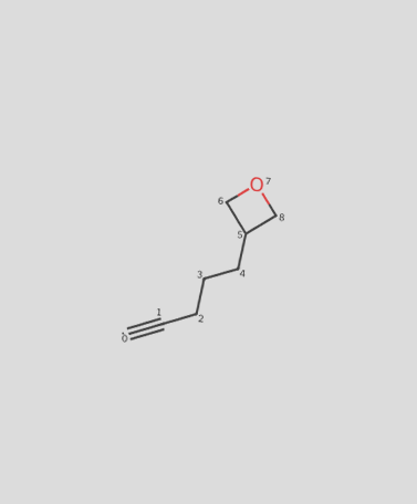 [C]#CCCCC1COC1